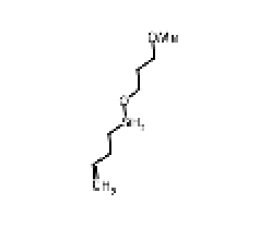 C=CCC[SiH2]OCCCOC